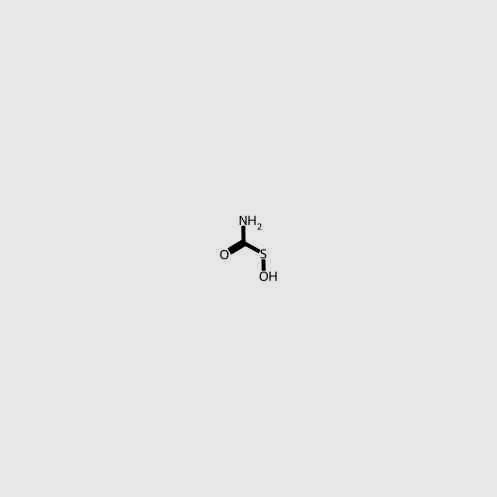 NC(=O)SO